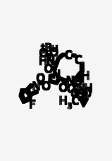 CC(C)(C)OC(=O)N[C@H]1CCCCC/C=C\[C@@H]2C[C@@]2(C(=O)NS(=O)(=O)C2(C)CC2)NC(=O)C2C[C@@H](OC(=O)N3Cc4cccc(F)c4C3)CN2C1=O